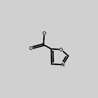 [O]C(=O)c1cnco1